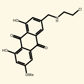 COc1cc(O)c2c(c1)C(=O)c1cc(CNCCCl)cc(O)c1C2=O